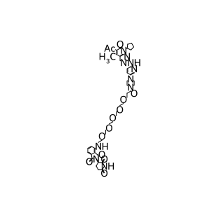 CC(=O)c1c(C)c2cnc(Nc3ccc(N4CCN(C(=O)CCOCCOCCOCCOCCOCCNc5cccc6c5C(=O)N(C5CCC(=O)NC5=O)C6=O)CC4)cn3)nc2n(C2CCCC2)c1=O